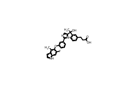 Cc1c(Oc2cccc(-c3ncc(C(C)(O)c4cccc(CCC(=O)O)c4)[nH]3)c2)c(F)cc2[nH]ccc12